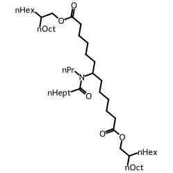 CCCCCCCCC(CCCCCC)COC(=O)CCCCCC(CCCCCC(=O)OCC(CCCCCC)CCCCCCCC)N(CCC)C(=O)CCCCCCC